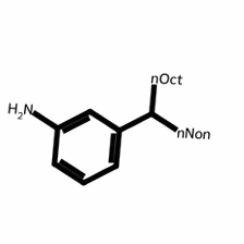 CCCCCCCCCC(CCCCCCCC)c1cccc(N)c1